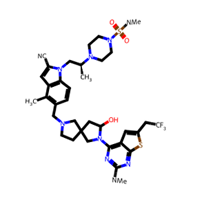 CNc1nc(N2CC3(CCN(Cc4ccc5c(cc(C#N)n5C[C@H](C)N5CCN(S(=O)(=O)NC)CC5)c4C)C3)CC2O)c2cc(CC(F)(F)F)sc2n1